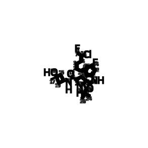 C=C(/C=C\C=C(\Cl)CF)[C@H]1[C@H](C(=O)N[C@H]2C[C@@](C)(O)C2)N[C@H](CC(C)(C)C)[C@]12C(=O)Nc1cc(F)ccc12